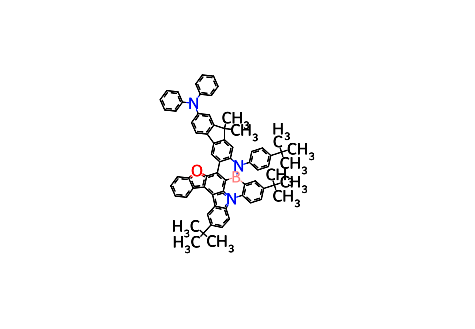 CC(C)(C)c1ccc(N2B3c4cc(C(C)(C)C)ccc4-n4c5ccc(C(C)(C)C)cc5c5c6c(oc7ccccc76)c(c3c54)-c3cc4c(cc32)C(C)(C)c2cc(N(c3ccccc3)c3ccccc3)ccc2-4)cc1